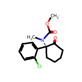 [CH2]OC(=O)N(C)[C@@]1(c2ccccc2Cl)CCCCC1=O